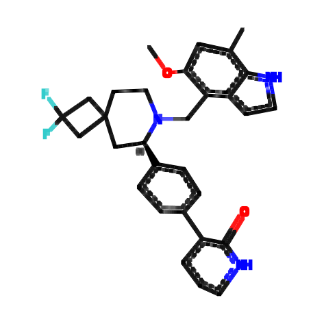 COc1cc(C)c2[nH]ccc2c1CN1CCC2(C[C@@H]1c1ccc(-c3ccc[nH]c3=O)cc1)CC(F)(F)C2